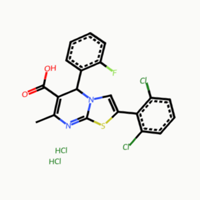 CC1=C(C(=O)O)C(c2ccccc2F)N2C=C(c3c(Cl)cccc3Cl)SC2=N1.Cl.Cl